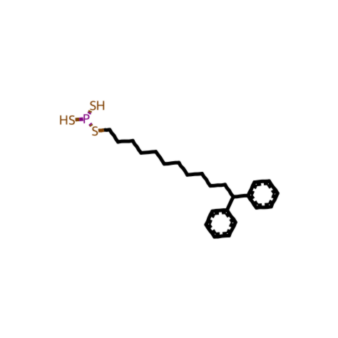 SP(S)SCCCCCCCCCCCC(c1ccccc1)c1ccccc1